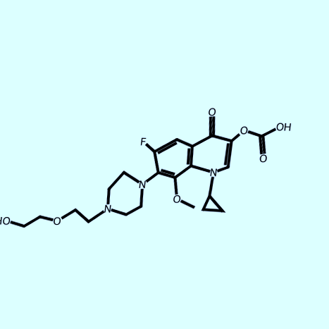 COc1c(N2CCN(CCOCCO)CC2)c(F)cc2c(=O)c(OC(=O)O)cn(C3CC3)c12